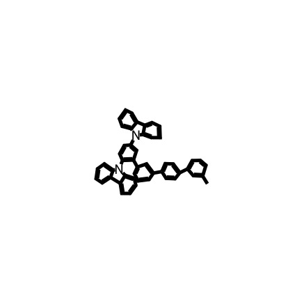 Cc1cccc(-c2ccc(-c3cccc(-c4cc(-n5c6ccccc6c6ccccc65)ccc4-n4c5ccccc5c5ccccc54)c3)cc2)c1